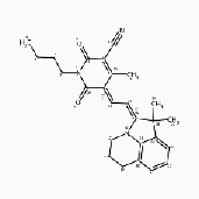 CCCCN1C(=O)C(C#N)=C(C)/C(=C\C=C2/N3CCCc4cccc(c43)C2(C)C)C1=O